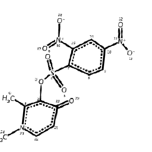 Cc1c(OS(=O)(=O)c2ccc([N+](=O)[O-])cc2[N+](=O)[O-])c(=O)ccn1C